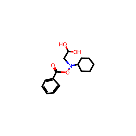 O=C(ON(CC(O)O)C1CCCCC1)c1ccccc1